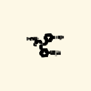 CCOC(=O)c1cccc(CN(CC(=O)NO)Cc2cccc(C(=O)O)c2)c1